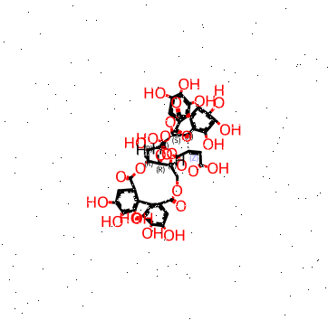 O=C(O)/C=C(\C(=O)O[C@H]1[C@@H]2OC(=O)c3cc(O)c(O)c(O)c3-c3c(cc(O)c(O)c3O)C(=O)OC[C@H]1O[C@@H](OC(=O)c1cc(O)c(O)c(O)c1)[C@@H]2O)[C@H]1c2c(cc(O)c(O)c2O)C(=O)O[C@@H]1C(=O)O